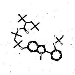 Cn1c(-c2ccccc2OC(F)(F)F)cc2ccc(OC(C)(C)CC(C)(C)OC(=O)C(CC(C)(C)C)C(C)(C)C)cc21